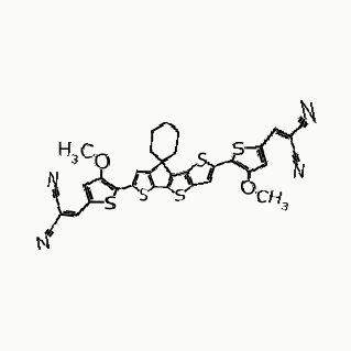 COc1cc(C=C(C#N)C#N)sc1-c1cc2c(s1)-c1sc3cc(-c4sc(C=C(C#N)C#N)cc4OC)sc3c1C21CCCCC1